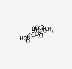 COC(=O)COc1c(Cl)cc(/C=C2\CCCN(C(=O)O)C2)c(F)c1[N+](=O)[O-]